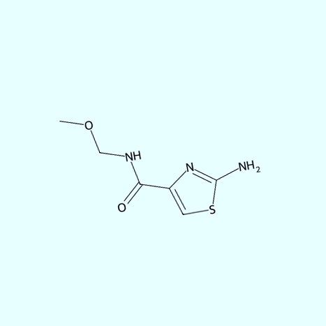 COCNC(=O)c1csc(N)n1